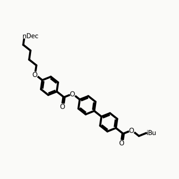 CCCCCCCCCCCCCCOc1ccc(C(=O)Oc2ccc(-c3ccc(C(=O)OCC(C)CC)cc3)cc2)cc1